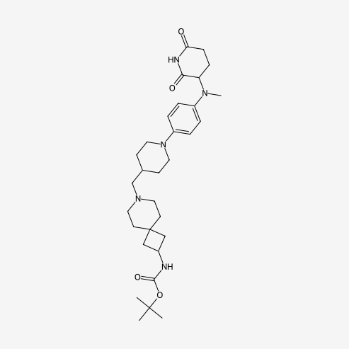 CN(c1ccc(N2CCC(CN3CCC4(CC3)CC(NC(=O)OC(C)(C)C)C4)CC2)cc1)C1CCC(=O)NC1=O